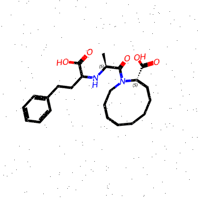 C[C@H](NC(CCc1ccccc1)C(=O)O)C(=O)N1CCCCCCCC[C@H]1C(=O)O